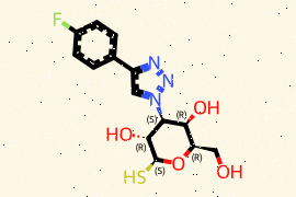 OC[C@H]1O[C@@H](S)[C@H](O)[C@@H](n2cc(-c3ccc(F)cc3)nn2)[C@H]1O